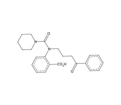 O=C(CCCN(C(=O)N1CCCCC1)c1ccccc1C(=O)O)c1ccccc1